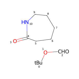 CC(C)(C)OC=O.O=C1CCCCCN1